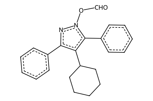 O=COn1nc(-c2ccccc2)c(C2CCCCC2)c1-c1ccccc1